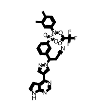 Cc1ccc(N(OC(=O)C(F)(F)F)S(=O)(=O)c2cccc(C(CC#N)n3cc(-c4ncnc5[nH]ccc45)cn3)c2)cc1C